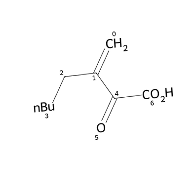 C=C(CCCCC)C(=O)C(=O)O